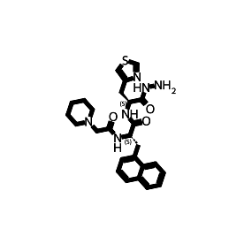 NNC(=O)[C@H](Cc1cscn1)NC(=O)[C@H](Cc1cccc2ccccc12)NC(=O)CN1CCCCC1